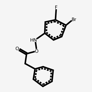 O=C(Cc1ccccc1)ONc1ccc(Br)c(F)c1